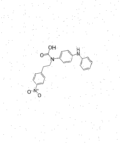 O=C(O)N(CCc1ccc([N+](=O)[O-])cc1)c1ccc(Nc2ccccc2)cc1